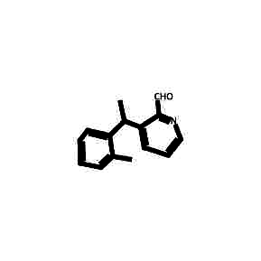 Cc1ccccc1C(C)c1cccnc1C=O